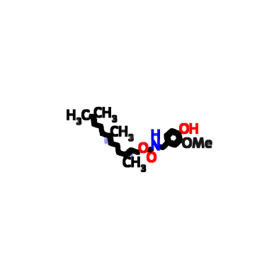 COc1cc(CNC(=O)OC/C=C(\C)CC/C=C(\C)CCC=C(C)C)ccc1O